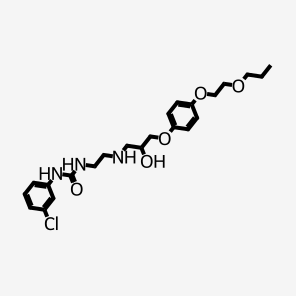 CCCOCCOc1ccc(OCC(O)CNCCNC(=O)Nc2cccc(Cl)c2)cc1